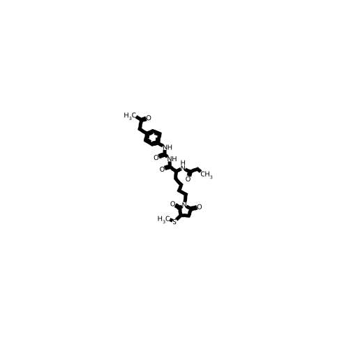 CCC(=O)NC(CCCCN1C(=O)CC(SC)C1=O)C(=O)NC(=O)Nc1ccc(CC(C)=O)cc1